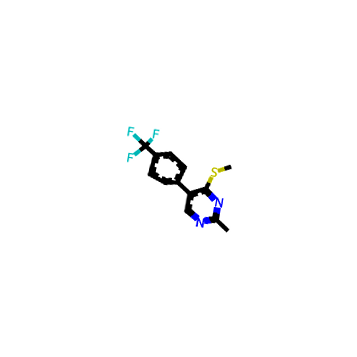 CSc1nc(C)ncc1-c1ccc(C(F)(F)F)cc1